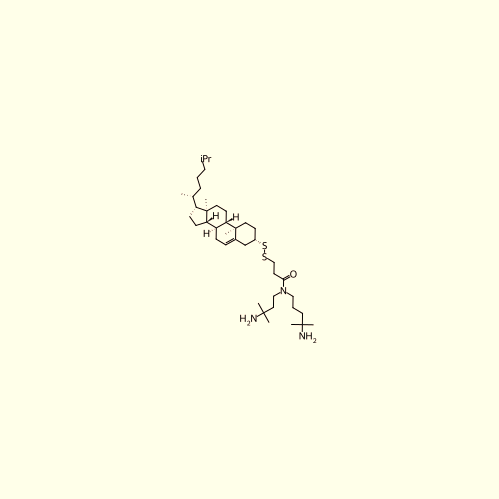 CC(C)CCC[C@@H](C)[C@H]1CC[C@H]2[C@@H]3CC=C4C[C@@H](SSCCC(=O)N(CCCC(C)(C)N)CCC(C)(C)N)CC[C@]4(C)[C@H]3CC[C@]12C